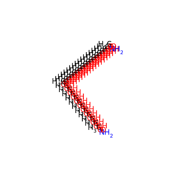 C=CC(=O)O.C=CC(=O)O.C=CC(=O)O.C=CC(=O)O.C=CC(=O)O.C=CC(=O)O.C=CC(=O)O.C=CC(=O)O.C=CC(=O)O.C=CC(=O)O.C=CC(=O)O.C=CC(=O)O.C=CC(=O)O.C=CC(=O)O.C=CC(=O)O.C=CC(=O)O.C=CC(=O)O.C=CC(=O)O.C=CC(=O)O.C=CC(=O)O.C=CC(=O)O.C=CC(=O)O.C=CC(=O)O.C=CC(=O)O.C=CC(=O)O.C=CC(=O)O.C=CC(=O)O.CCOC(N)=O.CCOC(N)=O